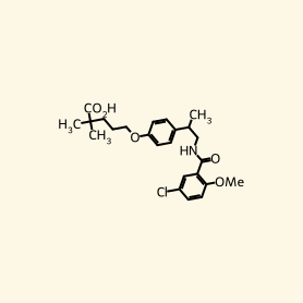 COc1ccc(Cl)cc1C(=O)NCC(C)c1ccc(OCCCC(C)(C)C(=O)O)cc1